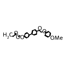 C=CC(=O)OCOc1ccc(-c2ccc(C(=O)COc3ccc(OC)cc3)cc2)cc1